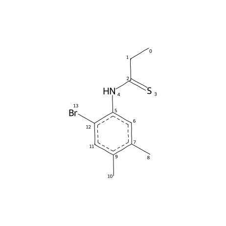 CCC(=S)Nc1cc(C)c(C)cc1Br